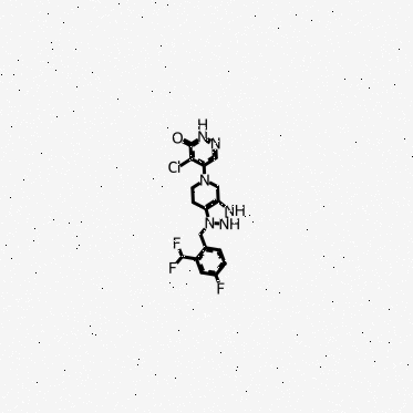 O=c1[nH]ncc(N2CCC3=C(C2)NNN3Cc2ccc(F)cc2C(F)F)c1Cl